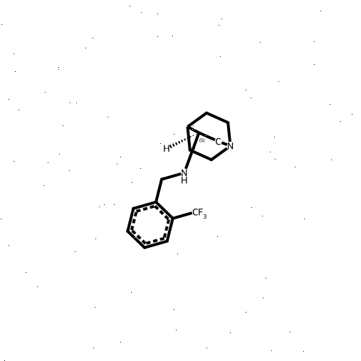 FC(F)(F)c1ccccc1CN[C@@H]1CN2CCC1CC2